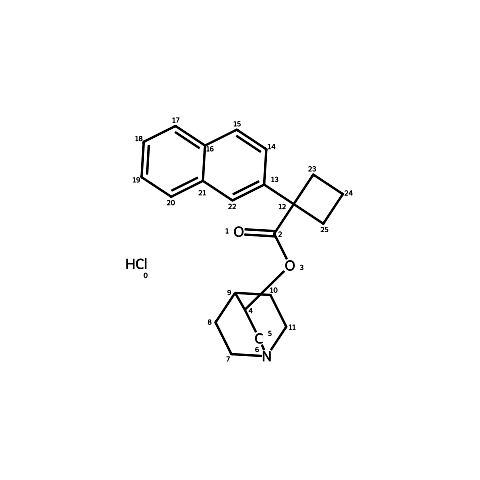 Cl.O=C(OC1CN2CCC1CC2)C1(c2ccc3ccccc3c2)CCC1